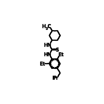 CCc1cc(CC(C)C)cc(CC)c1NC(=S)NC1CCCC(C)C1